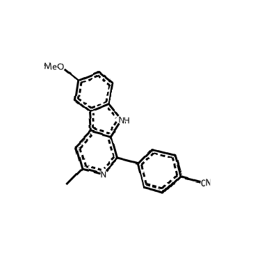 COc1ccc2[nH]c3c(-c4ccc(C#N)cc4)nc(C)cc3c2c1